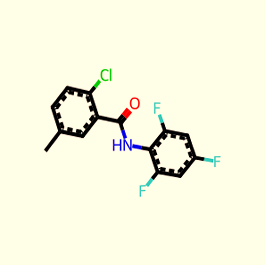 Cc1ccc(Cl)c(C(=O)Nc2c(F)cc(F)cc2F)c1